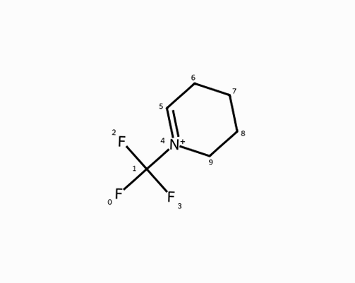 FC(F)(F)[N+]1=CCCCC1